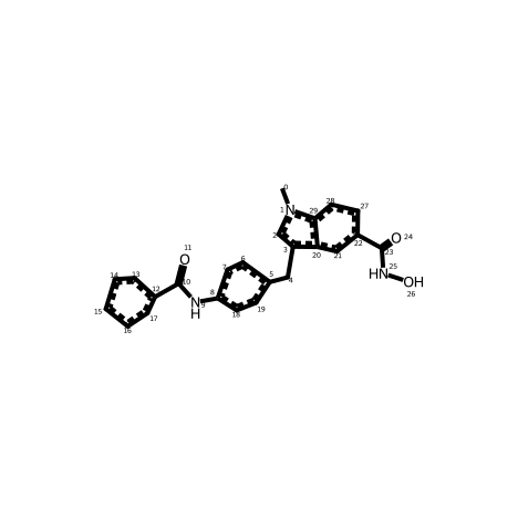 Cn1cc(Cc2ccc(NC(=O)c3ccccc3)cc2)c2cc(C(=O)NO)ccc21